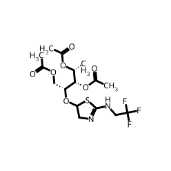 CC(=O)OC[C@@H](OC1CN=C(NCC(F)(F)F)S1)[C@@H](OC(C)=O)[C@@H](C)OC(C)=O